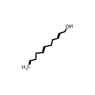 C=CCCC=CCCC=CCO